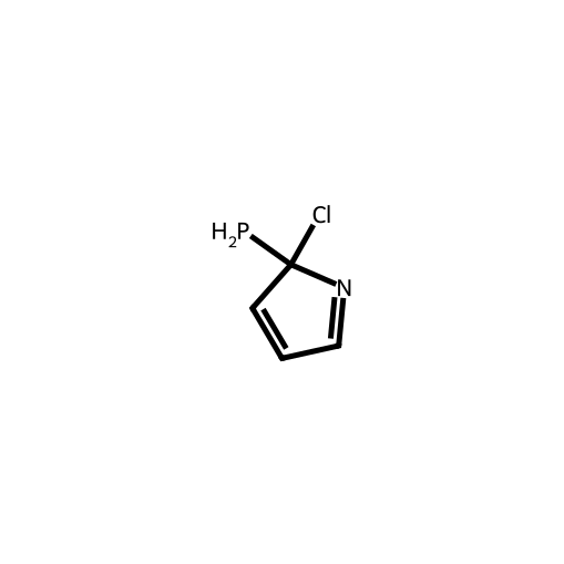 PC1(Cl)C=CC=N1